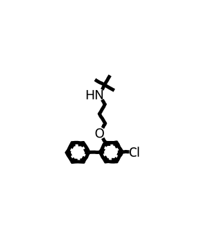 CC(C)(C)NCCCOc1cc(Cl)ccc1-c1ccccc1